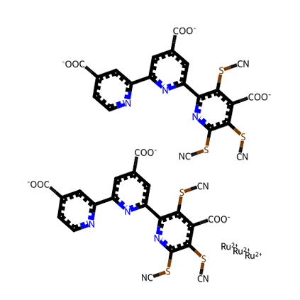 N#CSc1nc(-c2cc(C(=O)[O-])cc(-c3cc(C(=O)[O-])ccn3)n2)c(SC#N)c(C(=O)[O-])c1SC#N.N#CSc1nc(-c2cc(C(=O)[O-])cc(-c3cc(C(=O)[O-])ccn3)n2)c(SC#N)c(C(=O)[O-])c1SC#N.[Ru+2].[Ru+2].[Ru+2]